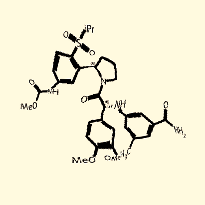 COC(=O)Nc1ccc(S(=O)(=O)C(C)C)c([C@H]2CCCN2C(=O)[C@H](Nc2cc(C)cc(C(N)=O)c2)c2ccc(OC)c(OC)c2)c1